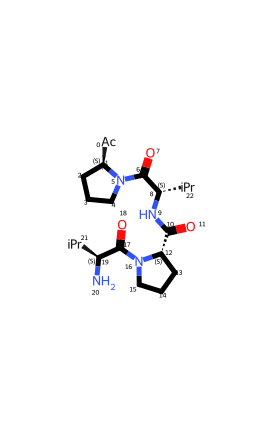 CC(=O)[C@@H]1CCCN1C(=O)[C@@H](NC(=O)[C@@H]1CCCN1C(=O)[C@@H](N)C(C)C)C(C)C